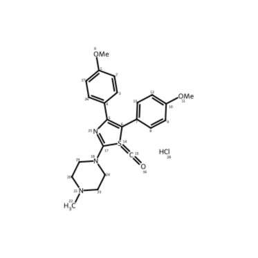 COc1ccc(C2=C(c3ccc(OC)cc3)S(=C=O)C(N3CCN(C)CC3)=N2)cc1.Cl